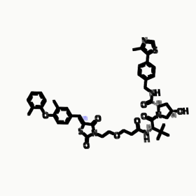 Cc1ccccc1Oc1ccc(/C=C2\SC(=O)N(CCOCCC(=O)N[C@H](C(=O)N3C[C@H](O)C[C@H]3C(=O)NCc3ccc(-c4scnc4C)cc3)C(C)(C)C)C2=O)cc1C